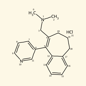 CN(C)CC1=C(c2cccnc2)c2ccccc2CCC1.Cl